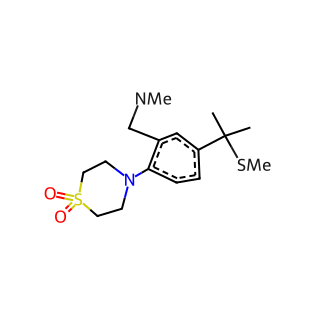 CNCc1cc(C(C)(C)SC)ccc1N1CCS(=O)(=O)CC1